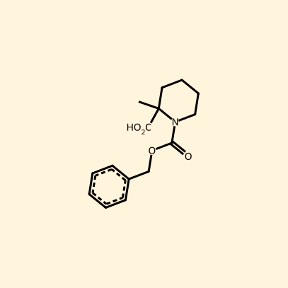 CC1(C(=O)O)CCCCN1C(=O)OCc1ccccc1